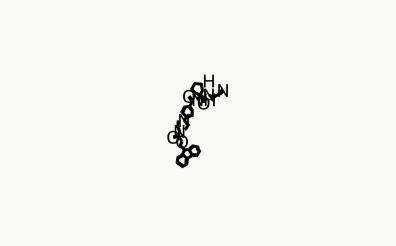 N#CCNC(=O)C1(NC(=O)c2ccc(N3CCN(C(=O)OCC4c5ccccc5-c5ccccc54)CC3)cc2)CCCCC1